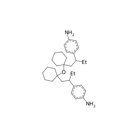 CCC(CC1(OC2(CC(CC)c3ccc(N)cc3)CCCCC2)CCCCC1)c1ccc(N)cc1